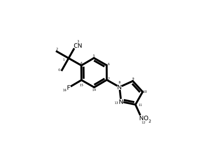 CC(C)(C#N)c1ccc(-n2ccc([N+](=O)[O-])n2)cc1F